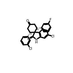 O=C1C[C@H](c2cccc(F)c2)C2(C(=O)Nc3cc(Cl)ccc32)[C@H](c2cccc(Cl)c2)C1